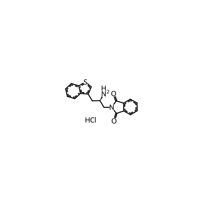 Cl.N[C@H](Cc1csc2ccccc12)CN1C(=O)c2ccccc2C1=O